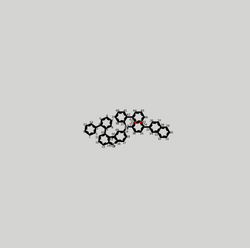 c1ccc(-c2ccccc2-c2cccc3sc4ccc(N(c5ccc(-c6ccc7ccccc7c6)cc5)c5ccccc5-c5ccccc5)cc4c23)cc1